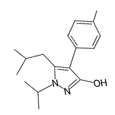 Cc1ccc(-c2c(O)nn(C(C)C)c2CC(C)C)cc1